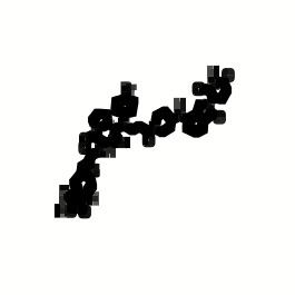 CC(C)(C)C(NC(=O)c1cc2cc(C(F)(F)P(=O)(O)O)ccc2s1)C(=O)N1CCC[C@H]1C(=O)N(CCC(=O)N1CCC(Nc2cccc3c2CN(C2CCC(=O)NC2=O)C3=O)CC1)c1ccc(Br)cc1